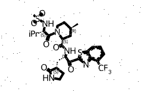 CC(C)[C@H](NS(C)(=O)=O)C(=O)N1CC[C@@H](C)C[C@H]1C(=O)N[C@@H](C[C@@H]1CCNC1=O)C(=O)c1nc2c(C(F)(F)F)cccc2s1